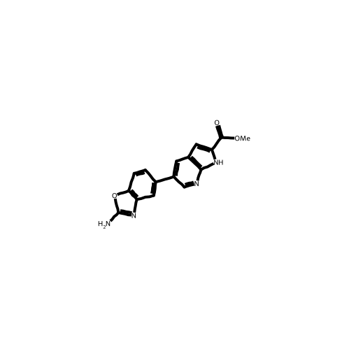 COC(=O)c1cc2cc(-c3ccc4oc(N)nc4c3)cnc2[nH]1